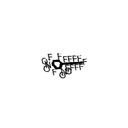 O=[N+]([O-])c1c(F)c(F)c(C(F)(F)C(F)(F)C(F)(F)C(F)(F)F)c([N+](=O)[O-])c1F